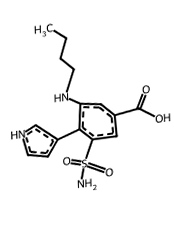 CCCCNc1cc(C(=O)O)cc(S(N)(=O)=O)c1-c1cc[nH]c1